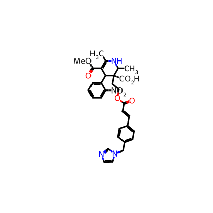 COC(=O)C1=C(C)NC(C)C(CCOC(=O)/C=C/c2ccc(Cn3ccnc3)cc2)(C(=O)O)C1c1ccccc1[N+](=O)[O-]